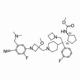 COC(=O)N[C@H]1CCC[C@@H]1C(CN1CCC1)(c1cccc(F)c1)C1CCN(CC2(OC)CN(c3cc(CN(C)C)c(C#N)cc3F)C2)CC1